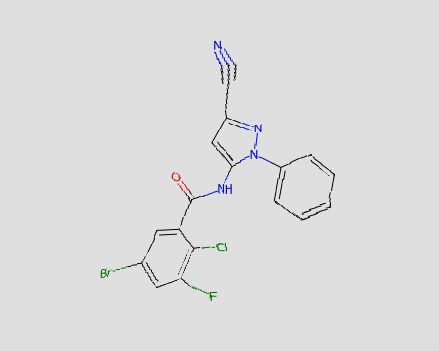 N#Cc1cc(NC(=O)c2cc(Br)cc(F)c2Cl)n(-c2ccccc2)n1